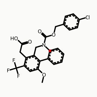 CCN(Cc1c(CC(=O)O)c(C(F)(F)F)cc(OC)c1-c1ccccc1)C(=O)OCc1ccc(Cl)cc1